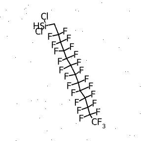 FC(F)(F)C(F)(F)C(F)(F)C(F)(F)C(F)(F)C(F)(F)C(F)(F)C(F)(F)C(F)(F)C(F)(F)C(F)(F)C(F)(F)C[SiH](Cl)Cl